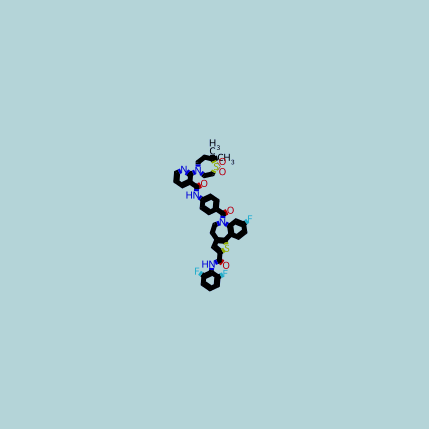 CC1(C)CCN(c2ncccc2C(=O)Nc2ccc(C(=O)N3CCc4cc(C(=O)Nc5c(F)cccc5F)sc4-c4ccc(F)cc43)cc2)CCS1(=O)=O